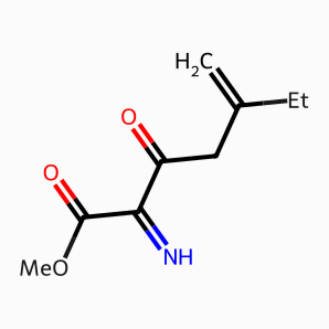 C=C(CC)CC(=O)C(=N)C(=O)OC